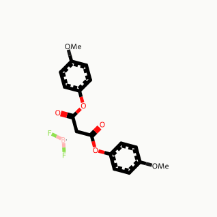 COc1ccc(OC(=O)CC(=O)Oc2ccc(OC)cc2)cc1.F[B]F